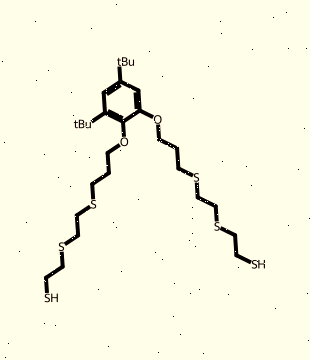 CC(C)(C)c1cc(OCCCSCCSCCS)c(OCCCSCCSCCS)c(C(C)(C)C)c1